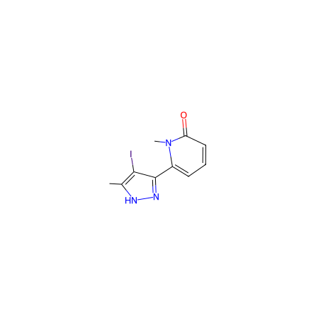 Cc1[nH]nc(-c2cccc(=O)n2C)c1I